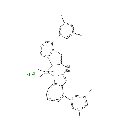 CCC(C)C1=Cc2c(-c3cc(C)cc(C)c3)cccc2[CH]1[Zr+2]1([CH]2C(C(C)CC)=Cc3c(-c4cc(C)cc(C)c4)cccc32)[CH2][CH2]1.[Cl-].[Cl-]